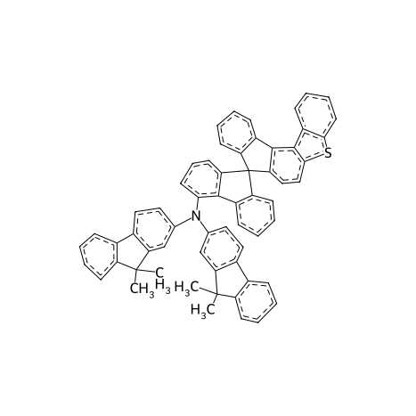 CC1(C)c2ccccc2-c2ccc(N(c3ccc4c(c3)C(C)(C)c3ccccc3-4)c3cccc4c3-c3ccccc3C43c4ccccc4-c4c3ccc3sc5ccccc5c43)cc21